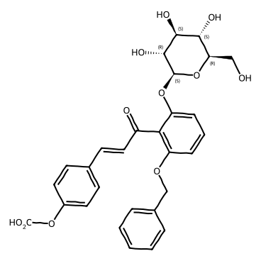 O=C(O)Oc1ccc(C=CC(=O)c2c(OCc3ccccc3)cccc2O[C@@H]2O[C@H](CO)[C@@H](O)[C@H](O)[C@H]2O)cc1